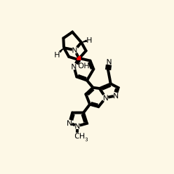 Cn1cc(-c2cc(-c3ccc(N4[C@@H]5CC[C@H]4C[C@H](O)C5)nc3)c3c(C#N)cnn3c2)cn1